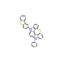 c1ccc(-n2c3cccc4sc5cccc6c5c5c(c43)c2ccc5n6-c2ccc3sc4ccccc4c3c2)cc1